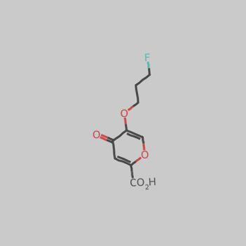 O=C(O)c1cc(=O)c(OCCCF)co1